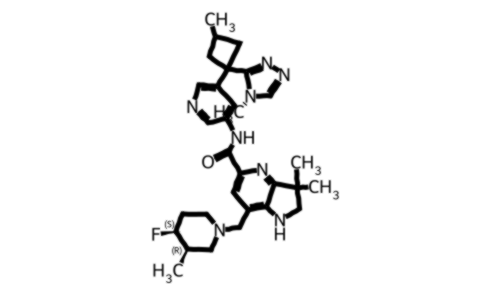 CC1CC(c2cncc(NC(=O)c3cc(CN4CC[C@H](F)[C@H](C)C4)c4c(n3)C(C)(C)CN4)c2)(c2nncn2C)C1